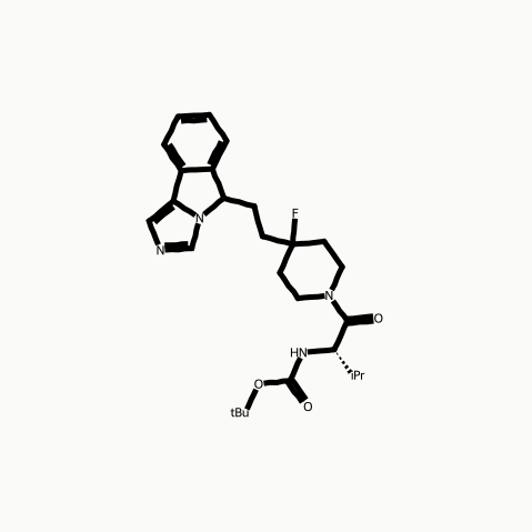 CC(C)[C@H](NC(=O)OC(C)(C)C)C(=O)N1CCC(F)(CCC2c3ccccc3-c3cncn32)CC1